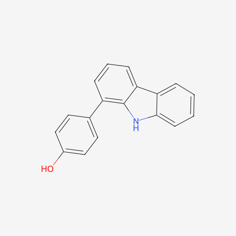 Oc1ccc(-c2cccc3c2[nH]c2ccccc23)cc1